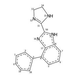 c1ccc(-c2cccc3[nH]c(C4=NCCN4)nc23)cc1